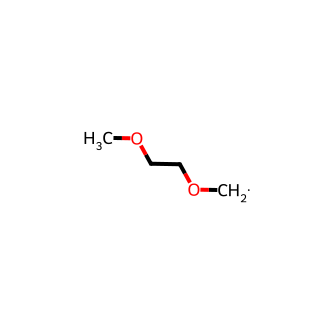 [CH2]OCCOC